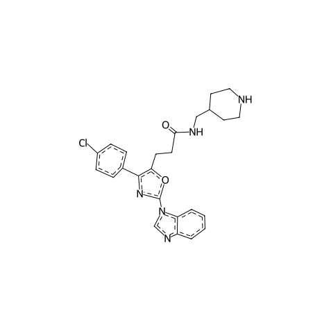 O=C(CCc1oc(-n2cnc3ccccc32)nc1-c1ccc(Cl)cc1)NCC1CCNCC1